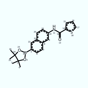 CC1(C)OB(c2ccc3cc(NC(=O)c4cccs4)ccc3c2)OC1(C)C